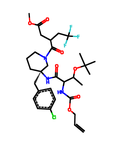 C=CCOC(=O)NC(C(=O)N[C@@]1(Cc2ccc(Cl)cc2)CCCN(C(=O)C(CC(=O)OC)CC(F)(F)F)C1)C(C)OC(C)(C)C